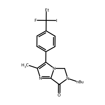 CCCCN1Cn2c(nc(C)c2-c2ccc(C(F)(I)CC)cc2)C1=O